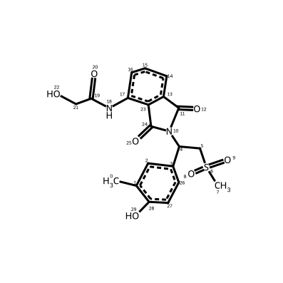 Cc1cc(C(CS(C)(=O)=O)N2C(=O)c3cccc(NC(=O)CO)c3C2=O)ccc1O